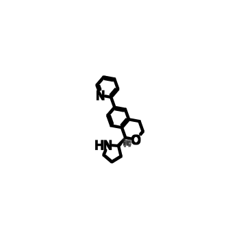 c1ccc(-c2ccc3c(c2)CCO[C@H]3C2CCCN2)nc1